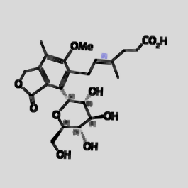 COc1c(C)c2c(c([C@H]3O[C@H](CO)[C@@H](O)[C@H](O)[C@H]3O)c1C/C=C(\C)CCC(=O)O)C(=O)OC2